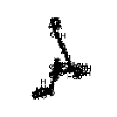 COc1cc2c(cc1OCCCCCOc1cc3c(cc1OC)C(=O)N1CC4(CC4)C[C@H]1CN3C(=O)OCc1ccc(O[C@@H]3O[C@H](C(=O)O)[C@@H](O)[C@H](O)[C@H]3O)c(NC(=O)CCOCCOCCOCCOCCNC(=O)OCC3[C@H]4CCC#CCC[C@@H]34)c1)NC[C@@H]1Cc3ccccc3CN1C2=O